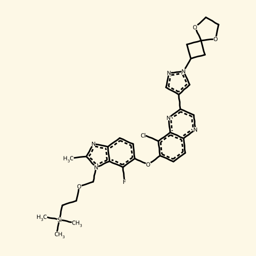 Cc1nc2ccc(Oc3ccc4ncc(-c5cnn(C6CC7(C6)OCCO7)c5)nc4c3Cl)c(F)c2n1COCC[Si](C)(C)C